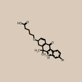 CC1(C)C2=C(C=CC(OCCCCC(=O)O)C2)C(=O)c2c1[nH]c1cc(Br)ccc21